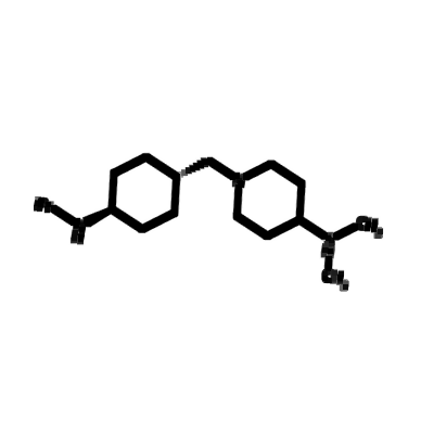 CC(C)N[C@H]1CC[C@H](CN2CCC([SH](C)C)CC2)CC1